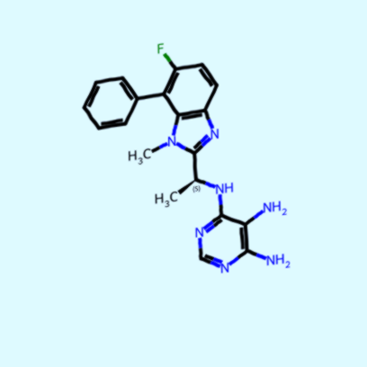 C[C@H](Nc1ncnc(N)c1N)c1nc2ccc(F)c(-c3ccccc3)c2n1C